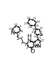 O=c1cc(CCSc2ccccn2)[nH]c2c(-c3cc(-c4ccccc4)cs3)cnn12